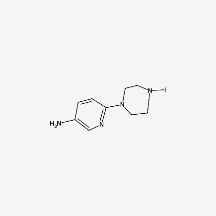 Nc1ccc(N2CCN(I)CC2)nc1